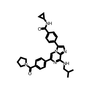 CC(C)CNc1nc(-c2ccc(C(=O)N3CCCC3)cc2)cn2c(-c3ccc(C(=O)NC4CC4)cc3)cnc12